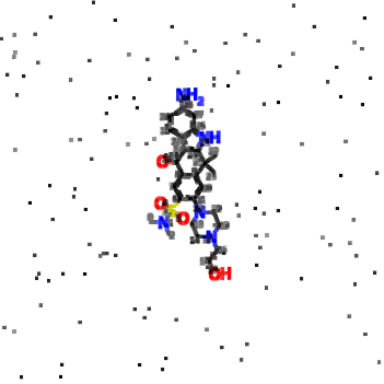 CN(C)S(=O)(=O)c1cc2c(cc1N1CCN(CCO)CC1)C(C)(C)c1[nH]c3cc(N)ccc3c1C2=O